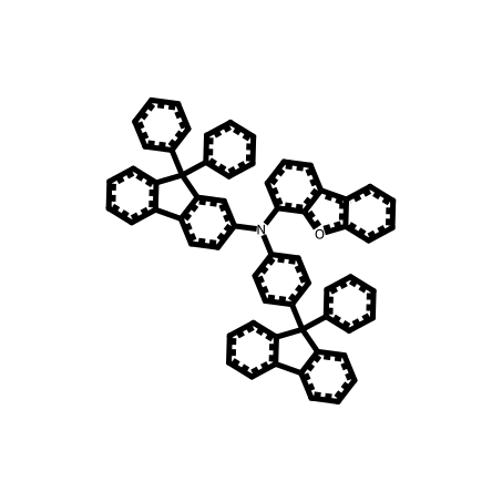 c1ccc(C2(c3ccc(N(c4ccc5c(c4)C(c4ccccc4)(c4ccccc4)c4ccccc4-5)c4cccc5c4oc4ccccc45)cc3)c3ccccc3-c3ccccc32)cc1